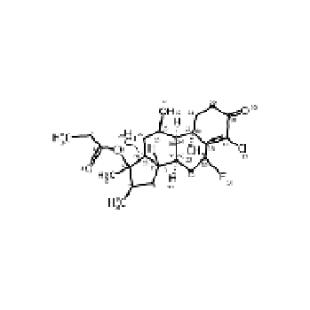 CCC(=O)OC1(C)C(C)C[C@H]2[C@@H]3CC(F)C4=C(Cl)C(=O)CC[C@]4(C)[C@@H]3C(O)C[C@@]21C